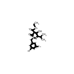 CCOC(=O)c1c(O)c(C(C)C)nn(Cc2cc(F)cc(F)c2)c1=O